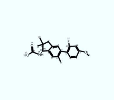 COc1ccc(-c2cc3c(cc2C)[C@H](NC(=O)O)C(C)(C)C3)c(F)c1